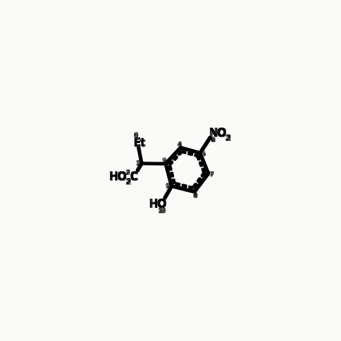 CCC(C(=O)O)c1cc([N+](=O)[O-])ccc1O